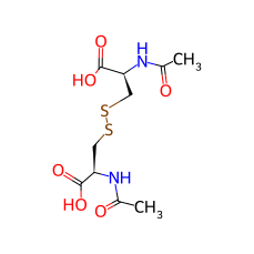 CC(=O)N[C@@H](CSSC[C@@H](NC(C)=O)C(=O)O)C(=O)O